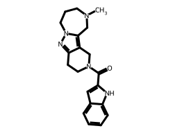 CN1CCCn2nc3c(c2C1)CN(C(=O)c1cc2ccccc2[nH]1)CC3